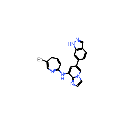 CCC1=CN=C(Nc2cc(-c3ccc4cn[nH]c4c3)cn3ccnc23)C=CC1